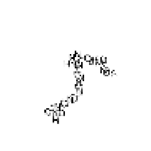 Cc1cc(-c2ncnc3[nH]c(-c4ccc(N5CCN(CC6CCN(c7ccc(N8CCC(=O)NC8=O)cc7)CC6)CC5)nc4)nc23)ccc1[C@@H](C)NC(=O)c1cc(C(C)(C)C)on1